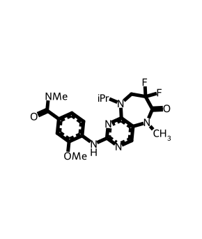 CNC(=O)c1ccc(Nc2ncc3c(n2)N(C(C)C)CC(F)(F)C(=O)N3C)c(OC)c1